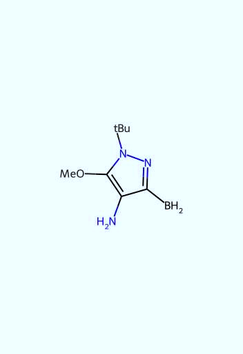 Bc1nn(C(C)(C)C)c(OC)c1N